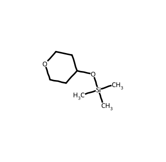 C[Si](C)(C)OC1CCOCC1